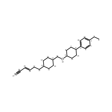 CCc1ccc(C2CCC(OCC3CCC(CCC=CC#N)CC3)CC2)cc1